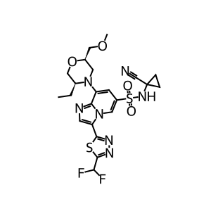 CC[C@H]1CO[C@@H](COC)CN1c1cc(S(=O)(=O)NC2(C#N)CC2)cn2c(-c3nnc(C(F)F)s3)cnc12